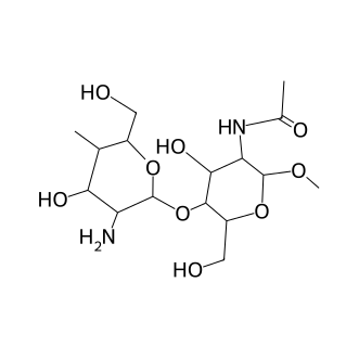 COC1OC(CO)C(OC2OC(CO)C(C)C(O)C2N)C(O)C1NC(C)=O